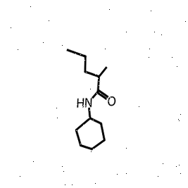 CCCC(C)C(=O)NC1CCCCC1